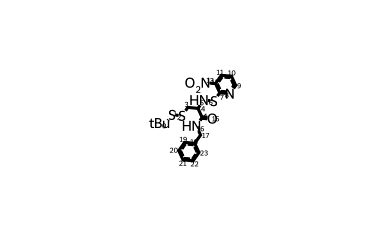 CC(C)(C)SSCC(NSc1ncccc1[N+](=O)[O-])C(=O)NCc1ccccc1